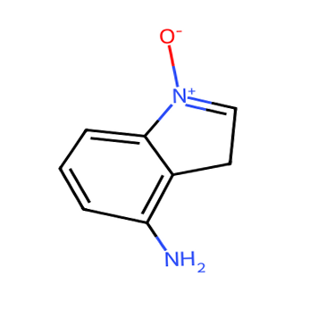 Nc1cccc2c1CC=[N+]2[O-]